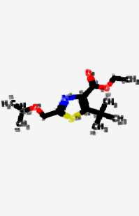 CCOC(=O)c1nc(CO[SiH](C)C)sc1C(C)(C)C